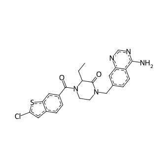 CCC1C(=O)N(Cc2ccc3c(N)ncnc3c2)CCN1C(=O)c1ccc2cc(Cl)sc2c1